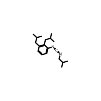 CC(C)CN=C=Nc1cccc(CC(C)C)c1CC(C)C